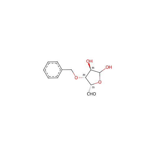 O=C[C@H]1OC(O)[C@H](O)[C@H]1OCc1ccccc1